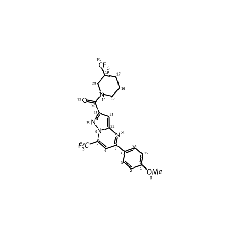 COc1ccc(-c2cc(C(F)(F)F)n3nc(C(=O)N4CCCC(C(F)(F)F)C4)cc3n2)cc1